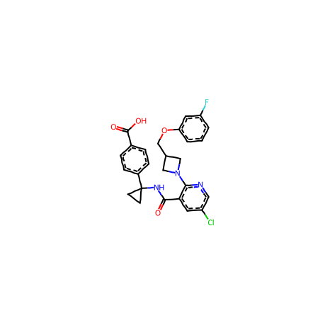 O=C(O)c1ccc(C2(NC(=O)c3cc(Cl)cnc3N3CC(COc4cccc(F)c4)C3)CC2)cc1